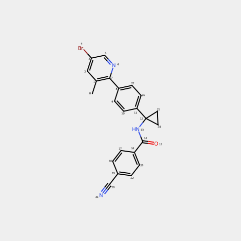 Cc1cc(Br)cnc1-c1ccc(C2(NC(=O)c3ccc(C#N)cc3)CC2)cc1